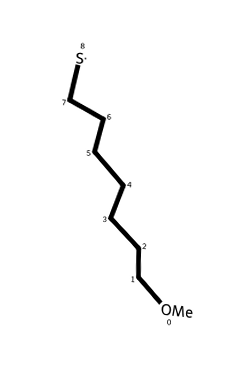 COCCCCCCC[S]